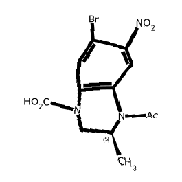 CC(=O)N1c2cc([N+](=O)[O-])c(Br)cc2N(C(=O)O)C[C@@H]1C